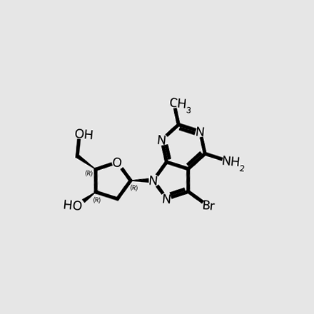 Cc1nc(N)c2c(Br)nn([C@H]3C[C@@H](O)[C@@H](CO)O3)c2n1